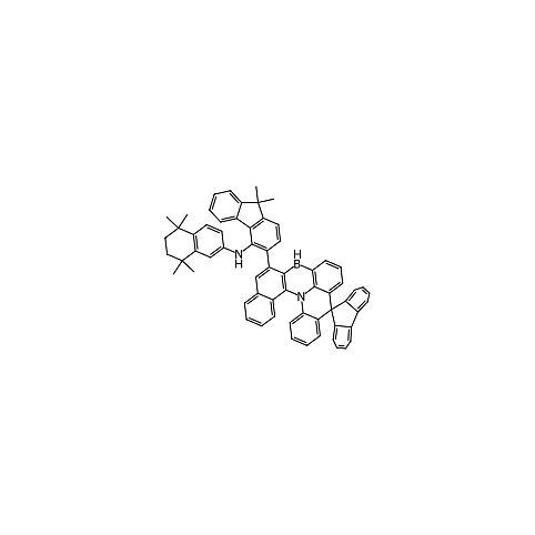 CC1(C)CCC(C)(C)c2cc(Nc3c(-c4cc5ccccc5c5c4Bc4cccc6c4N5c4ccccc4C64c5ccccc5-c5ccccc54)ccc4c3-c3ccccc3C4(C)C)ccc21